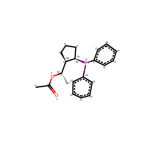 CC(=O)O[C@@H](C)[C@H]1CCC[C@H]1P(c1ccccc1)c1ccccc1